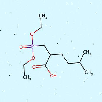 CCOP(=O)(CC(CCC(C)C)C(=O)O)OCC